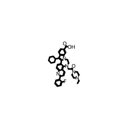 CCN1CCN(C(=O)CN2CCn3c(c(C4CCCCC4)c4ccc(C(=O)O)cc43)-c3ccc4nc(-c5ccccc5F)ccc4c32)CC1